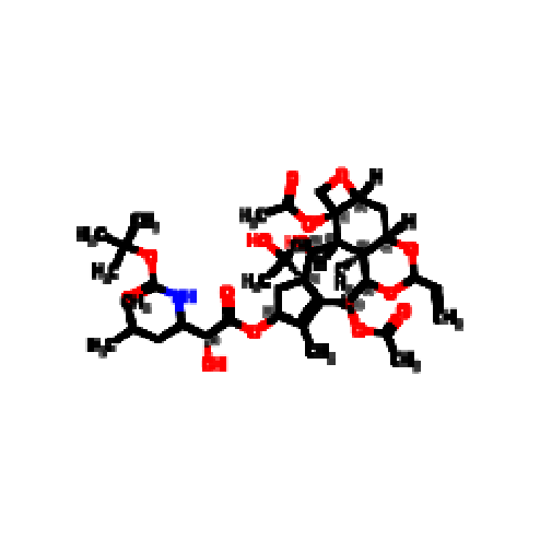 C=CC1O[C@H]2C[C@H]3OC[C@@]3(OC(C)=O)[C@H]3[C@H](O)[C@]4(C(C)(C)O)C[C@H](OC(=O)[C@H](O)C(CC(C)C)NC(=O)OC(C)(C)C)C(C)=C4[C@H](OC(C)=O)[C@H](O1)[C@]23C